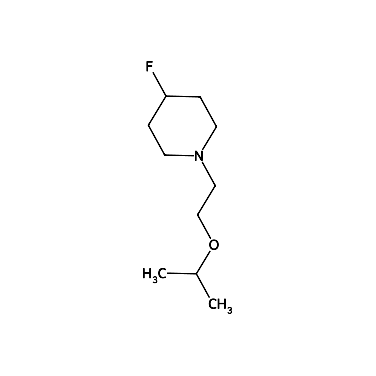 CC(C)OCCN1CCC(F)CC1